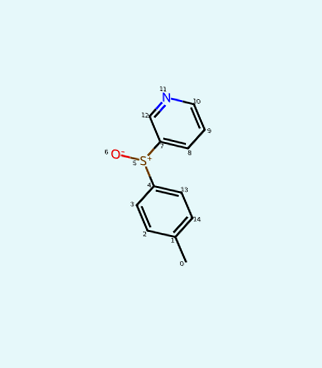 Cc1ccc([S+]([O-])c2cccnc2)cc1